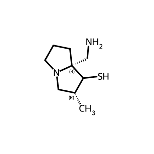 C[C@@H]1CN2CCC[C@@]2(CN)C1S